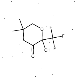 CC1(C)COC(O)(C(F)(F)F)C(=O)C1